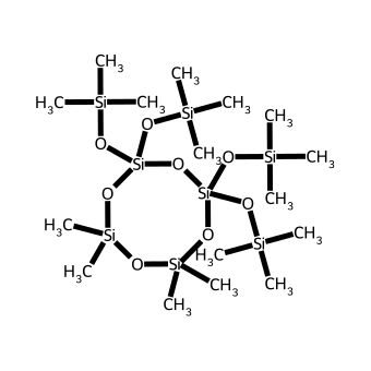 C[Si](C)(C)O[Si]1(O[Si](C)(C)C)O[Si](C)(C)O[Si](C)(C)O[Si](O[Si](C)(C)C)(O[Si](C)(C)C)O1